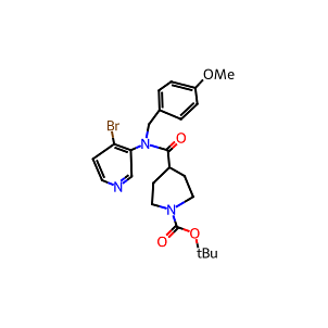 COc1ccc(CN(C(=O)C2CCN(C(=O)OC(C)(C)C)CC2)c2cnccc2Br)cc1